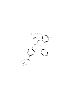 CC(C)(C)NC(=O)c1ccc(CN(C(C(N)=O)c2ccc(F)cc2F)S(=O)(=O)c2ccc(Cl)cc2)cc1